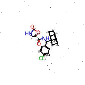 O=C1NC[C@@H](C(=O)NC(c2ccc(Cl)cc2)C23C4C5C6C4C2C6C53)O1